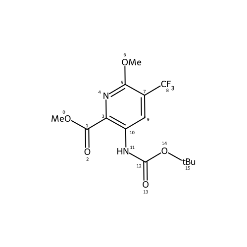 COC(=O)c1nc(OC)c(C(F)(F)F)cc1NC(=O)OC(C)(C)C